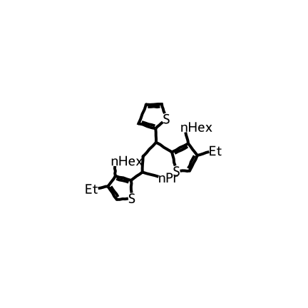 CCCCCCc1c(CC)csc1C(CCC)CC(c1cccs1)c1scc(CC)c1CCCCCC